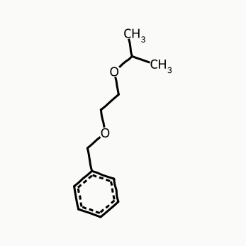 CC(C)OCCOCc1ccccc1